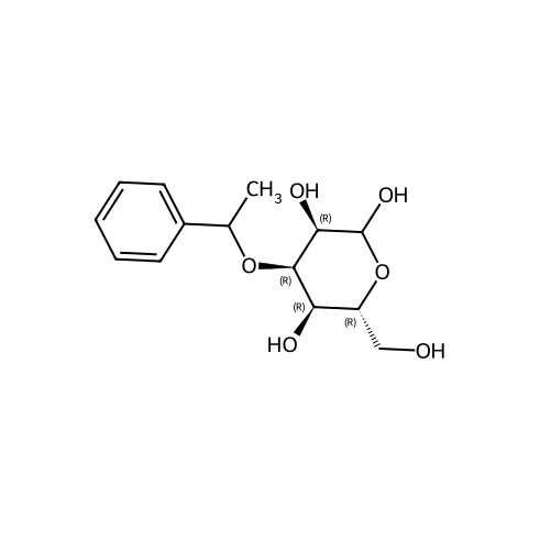 CC(O[C@@H]1[C@H](O)[C@@H](CO)OC(O)[C@@H]1O)c1ccccc1